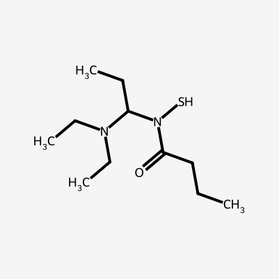 CCCC(=O)N(S)C(CC)N(CC)CC